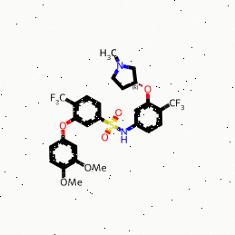 COc1ccc(Oc2cc(S(=O)(=O)Nc3ccc(C(F)(F)F)c(O[C@@H]4CCN(C)C4)c3)ccc2C(F)(F)F)cc1OC